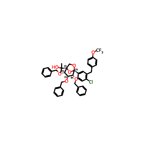 CC(C)(O)[C@@]12CO[C@@](c3ccc(Cl)c(Cc4ccc(OC(F)(F)F)cc4)c3)(O1)[C@H](OCc1ccccc1)[C@@H](OCc1ccccc1)[C@@H]2OCc1ccccc1